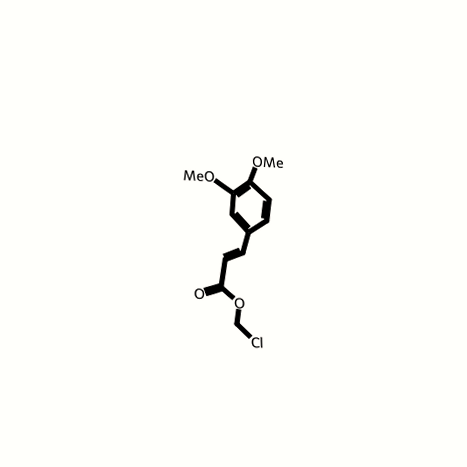 COc1ccc(C=CC(=O)OCCl)cc1OC